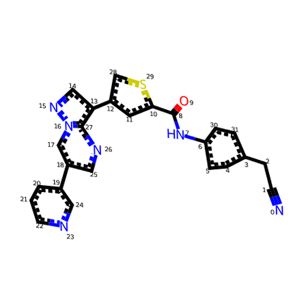 N#CCc1ccc(NC(=O)c2cc(-c3cnn4cc(-c5cccnc5)cnc34)cs2)cc1